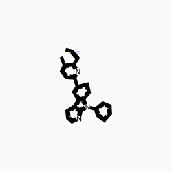 C/C=C\c1nc(-c2ccc3c(c2)c2cccnc2n3-c2ccccc2)ccc1C